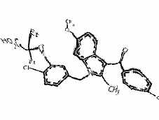 CCC(CC)(Oc1cc(Cn2c(C)c(C(=O)c3ccc(Cl)cc3)c3ccc(OC(F)(F)F)cc32)ccc1Cl)C(=O)O